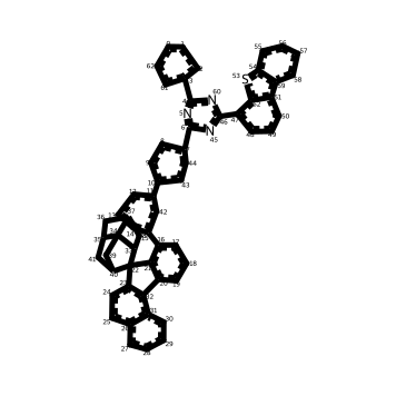 c1ccc(-c2nc(-c3ccc(-c4cccc(-c5cccc6c5C5(c7ccc8ccccc8c7-6)C6CC7CC(C6)CC5C7)c4)cc3)nc(-c3cccc4c3sc3ccccc34)n2)cc1